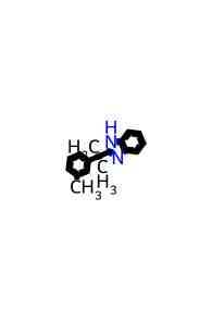 Cc1cccc(C(C)(C)c2nc3ccccc3[nH]2)c1